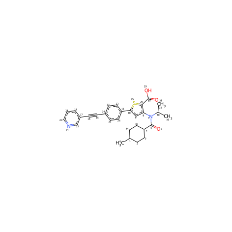 CC1CCC(C(=O)N(c2cc(-c3ccc(C#Cc4cccnc4)cc3)sc2C(=O)O)C(C)C)CC1